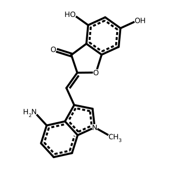 Cn1cc(C=C2Oc3cc(O)cc(O)c3C2=O)c2c(N)cccc21